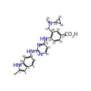 Cc1cc2ccc(Nc3nccc(Nc4ccc(C(=O)O)cc4CN(C)C4CC4)n3)cc2[nH]1